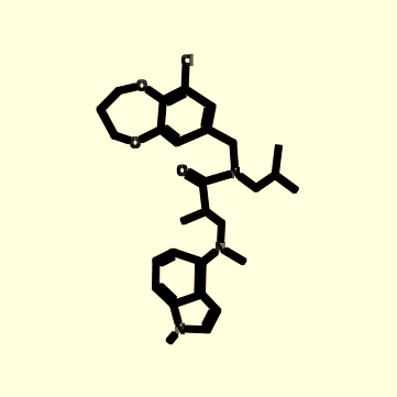 CC(C)CN(Cc1cc(Cl)c2c(c1)OCCCO2)C(=O)C(C)CN(C)c1cccc2c1ccn2C